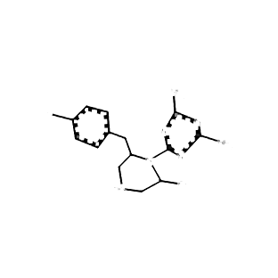 CCC1CNCC(Cc2ccc(F)cc2)N1c1nc(N)nc(N)n1